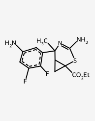 CCOC(=O)C12CC1C(C)(c1cc(N)cc(F)c1F)N=C(N)S2